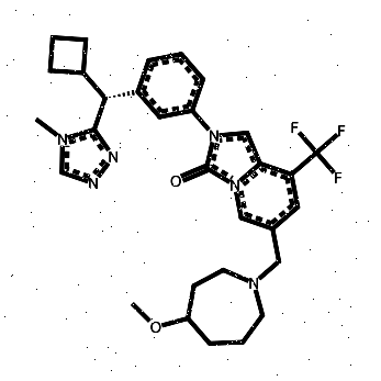 COC1CCCN(Cc2cc(C(F)(F)F)c3cn(-c4cccc([C@H](c5nncn5C)C5CCC5)c4)c(=O)n3c2)CC1